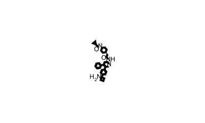 CN(C(=O)C1CC1)[C@H]1CC[C@H](CC(=O)Nc2cc(-c3ccccc3)c(-c3ccc(C4(N)CCC4)cc3)cn2)CC1